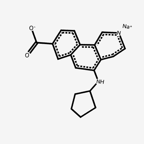 O=C([O-])c1ccc2c(c1)cc(NC1CCCC1)c1ccncc12.[Na+]